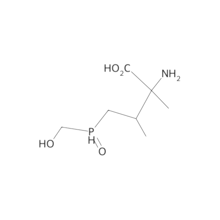 CC(C[PH](=O)CO)C(C)(N)C(=O)O